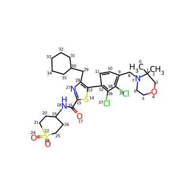 CC1(C)COCCN1Cc1ccc(-c2sc(C(=O)NC3CCS(=O)(=O)CC3)nc2CC2CCCCC2)c(Cl)c1Cl